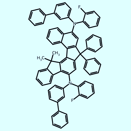 CC1(C)c2ccccc2-c2c(N(c3cccc(-c4ccccc4)c3)c3ccccc3F)cc3c(c21)-c1c(cc(N(c2cccc(-c4ccccc4)c2)c2ccccc2F)c2ccccc12)C3(c1ccccc1)c1ccccc1